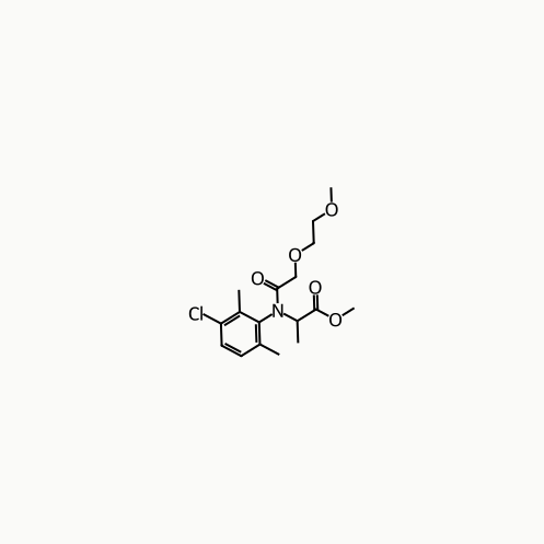 COCCOCC(=O)N(c1c(C)ccc(Cl)c1C)C(C)C(=O)OC